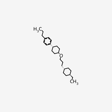 CCCc1ccc([C@H]2CC[C@H](OCCC[C@H]3CC[C@H](CC)CC3)CC2)cc1